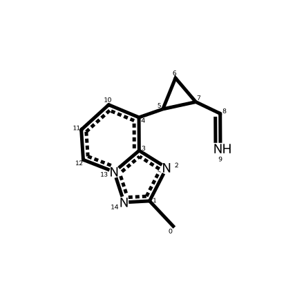 Cc1nc2c(C3CC3C=N)cccn2n1